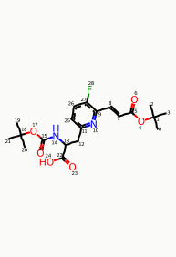 CC(C)(C)OC(=O)C=Cc1nc(CC(NC(=O)OC(C)(C)C)C(=O)O)ccc1F